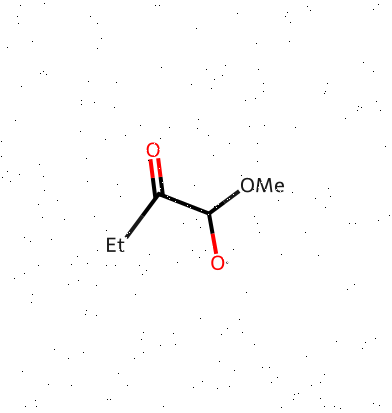 CCC(=O)C([O])OC